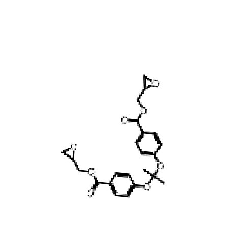 CC(C)(Oc1ccc(C(=O)OCC2CO2)cc1)Oc1ccc(C(=O)OCC2CO2)cc1